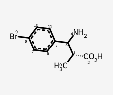 C[C@@H](C(=O)O)C(N)c1ccc(Br)cc1